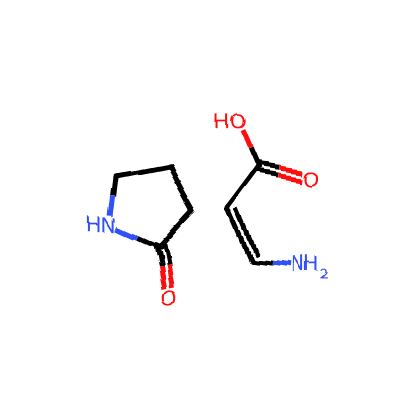 N/C=C\C(=O)O.O=C1CCCN1